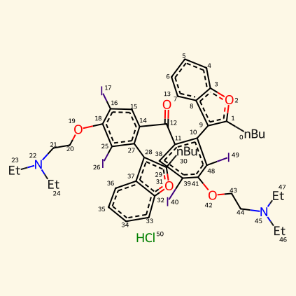 CCCCc1oc2ccccc2c1-c1c(C(=O)c2cc(I)c(OCCN(CC)CC)c(I)c2-c2c(CCCC)oc3ccccc23)cc(I)c(OCCN(CC)CC)c1I.Cl